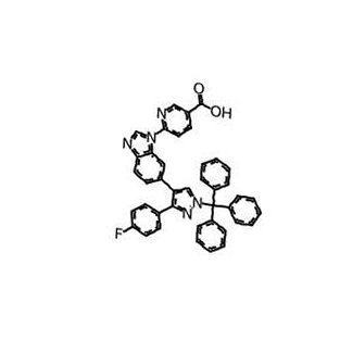 O=C(O)c1ccc(-n2cnc3ccc(-c4cn(C(c5ccccc5)(c5ccccc5)c5ccccc5)nc4-c4ccc(F)cc4)cc32)nc1